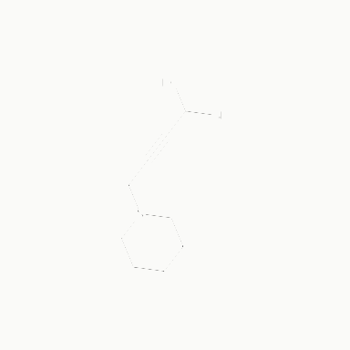 CC(S)C#CCN1CCCCC1